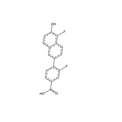 O=C(O)c1ccc(-c2ccc3c(F)c(O)ccc3c2)c(F)c1